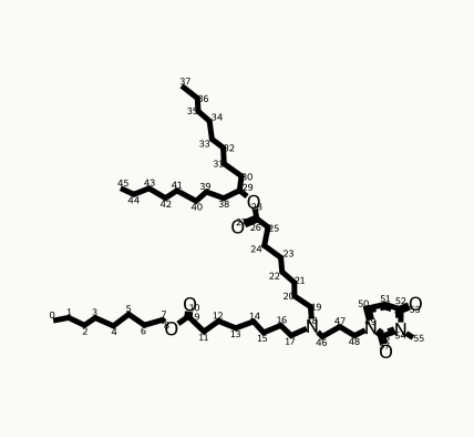 CCCCCCCCOC(=O)CCCCCCCN(CCCCCCCC(=O)OC(CCCCCCCC)CCCCCCCC)CCCn1ccc(=O)n(C)c1=O